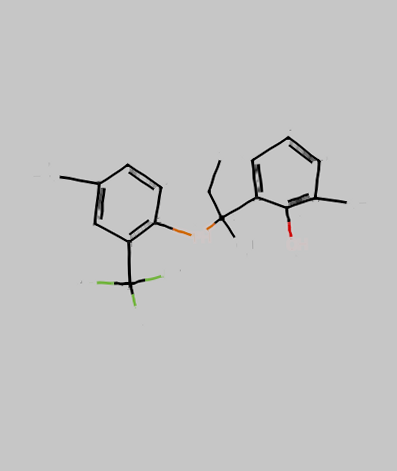 CCC(C)(Pc1ccc(C)cc1C(F)(F)F)c1cccc(C)c1O